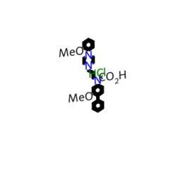 COc1cc(N(CCCN2CCN(c3ccccc3OC)CC2)C(=O)O)ccc1-c1ccccc1.Cl